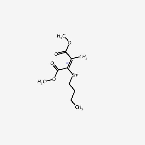 CCC[CH2][Sn]/[C](C(=O)OC)=C(\C)C(=O)OC